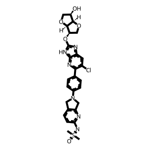 CS(C)(=O)=Nc1ccc2c(n1)CN(c1ccc(-c3nc4[nH]c(O[C@@H]5CO[C@H]6[C@@H]5OC[C@H]6O)nc4cc3Cl)cc1)C2